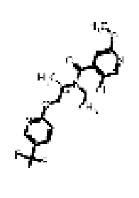 CCN(C(=O)c1cc(OC)ncc1Cl)[C@@H](C)COc1ccc(C(F)(F)F)cn1